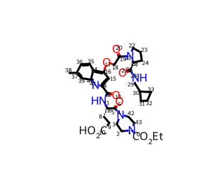 CCOC(=O)N1CCN(C(=O)[C@H](CCC(=O)O)NC(=O)c2cc(OCC(=O)N3CCC[C@H]3C(=O)NCC3CCC3)c3ccc(C)cc3n2)CC1